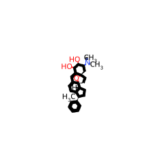 CN(C)[C@H]1C[C@@]23CC[C@@]4(O2)C(=CC[C@]2(C)[C@@H](c5ccccc5)CC[C@H]24)C=C3[C@@H](O)[C@@H]1O